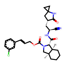 C[C@@]12CCCC[C@@H]1[C@@H](C(=O)N[C@H](C#N)C[C@@H]1CC3(CC3)NC1=O)N(C(=O)OC/C=C/c1cccc(Cl)c1)C2